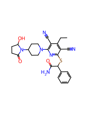 CCc1c(C#N)c(SC(C(N)=O)c2ccccc2)nc(N2CCC(N3C(=O)CCC3O)CC2)c1C#N